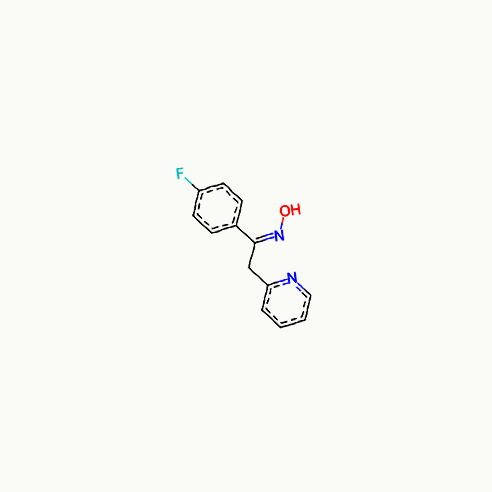 ON=C(Cc1ccccn1)c1ccc(F)cc1